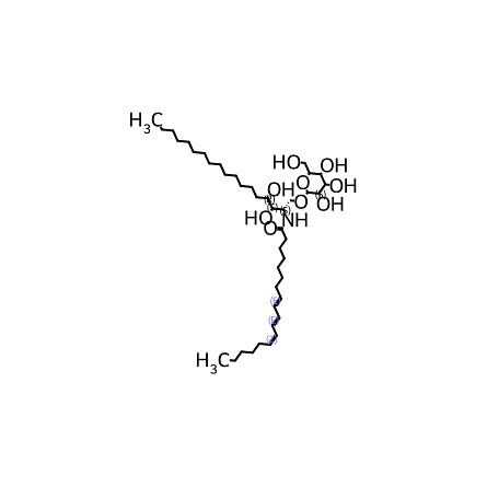 CCCCC\C=C/C=C/C=C/CCCCCCC(=O)N[C@@H](COC1OC(CO)C(O)C(O)[C@@H]1O)[C@H](O)[C@H](O)CCCCCCCCCCCCCC